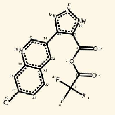 O=C(OC(=O)C(F)(F)F)c1[nH]nnc1-c1cnc2cc(Cl)ccc2c1